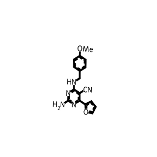 COc1ccc(CNc2nc(N)nc(-c3ccco3)c2C#N)cc1